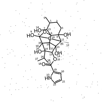 CC1CCC2(O)C3(OC4(O)C[C@]2(C)C2(O)C(OC(=O)c5ccc[nH]5)C(O)(C(C)C)C4(C)C32C)C1O